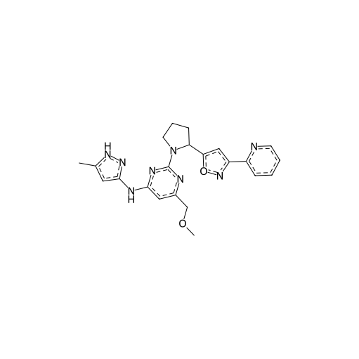 COCc1cc(Nc2cc(C)[nH]n2)nc(N2CCCC2c2cc(-c3ccccn3)no2)n1